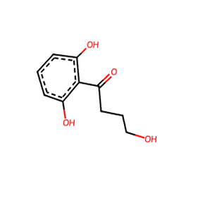 O=C(CCCO)c1c(O)cccc1O